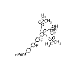 C=C(C)C(=O)OCCCc1cc(-c2ccc(-c3ccc(C4CCC(CCCCC)CC4)cc3F)cc2F)cc(CCCOC(=O)C(=C)C)c1OCCC(CO)(CO)CCC